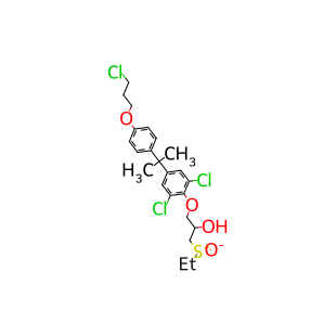 CC[S+]([O-])CC(O)COc1c(Cl)cc(C(C)(C)c2ccc(OCCCCl)cc2)cc1Cl